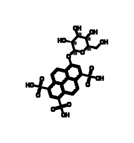 O=S(=O)(O)c1cc(O[C@@H]2O[C@H](CO)[C@H](O)[C@H](O)[C@H]2O)c2ccc3c(S(=O)(=O)O)cc(S(=O)(=O)O)c4ccc1c2c34